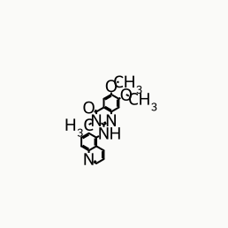 COc1cc2nc(Nc3cccc4ncccc34)n(C)c(=O)c2cc1OC